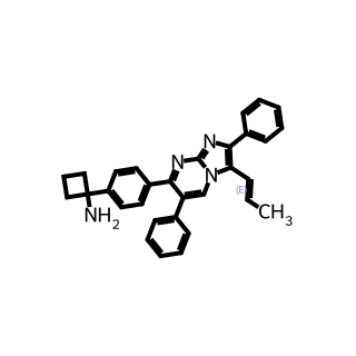 C/C=C/c1c(-c2ccccc2)nc2nc(-c3ccc(C4(N)CCC4)cc3)c(-c3ccccc3)cn12